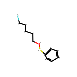 FCCCCCOSc1ccccc1